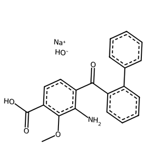 COc1c(C(=O)O)ccc(C(=O)c2ccccc2-c2ccccc2)c1N.[Na+].[OH-]